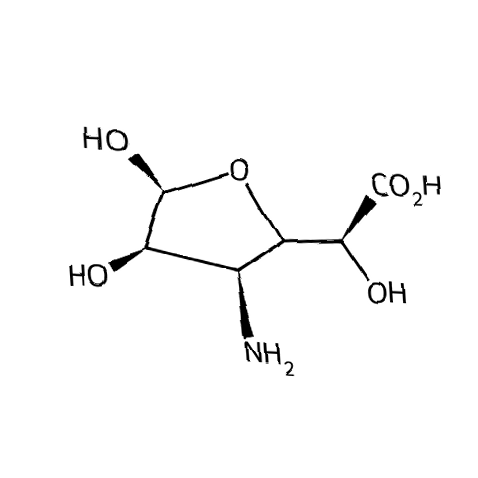 N[C@@H]1C([C@H](O)C(=O)O)O[C@H](O)[C@@H]1O